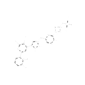 Cc1cccc(-c2cc(-c3cn(Cc4cccc(N5CC(CS(C)(=O)=O)C5)n4)nn3)c(F)c(N)n2)c1C